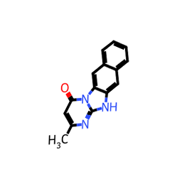 Cc1cc(=O)n2c(n1)[nH]c1cc3ccccc3cc12